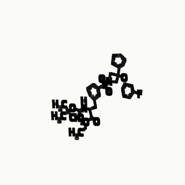 CCOC(=O)[C@H](Cc1cccc(S(=O)(=O)N2CC(Oc3cccc(F)c3)(c3ccccc3)C2)c1)NC(=O)OC(C)(C)C